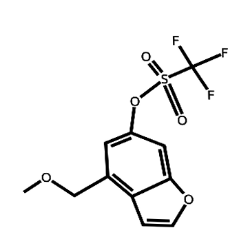 COCc1cc(OS(=O)(=O)C(F)(F)F)cc2occc12